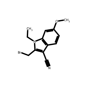 CCn1c(CBr)c(C#N)c2ccc(OC)cc21